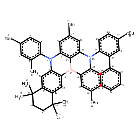 Cc1cc(C(C)(C)C)ccc1N1c2cc3c(cc2B2c4cc(C(C)(C)C)ccc4N(c4ccc(C(C)(C)C)cc4-c4ccccc4)c4cc(C(C)(C)C)cc1c42)C(C)(C)CCC3(C)C